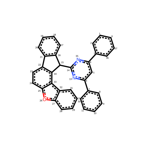 c1ccc(-c2cc(-c3ccccc3)nc(C3c4ccccc4-c4ccc5oc6ccccc6c5c43)n2)cc1